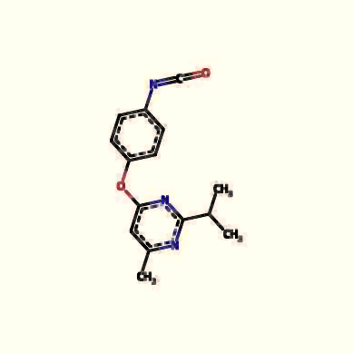 Cc1cc(Oc2ccc(N=C=O)cc2)nc(C(C)C)n1